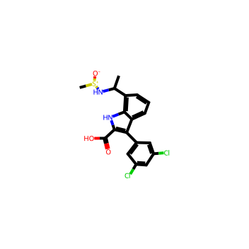 CC(N[S+](C)[O-])c1cccc2c(-c3cc(Cl)cc(Cl)c3)c(C(=O)O)[nH]c12